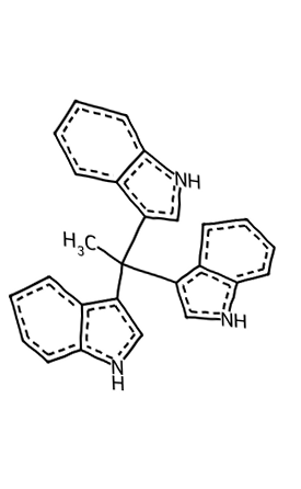 CC(c1c[nH]c2ccccc12)(c1c[nH]c2ccccc12)c1c[nH]c2ccccc12